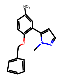 Cn1nccc1-c1cc([N+](=O)[O-])ccc1OCc1ccccc1